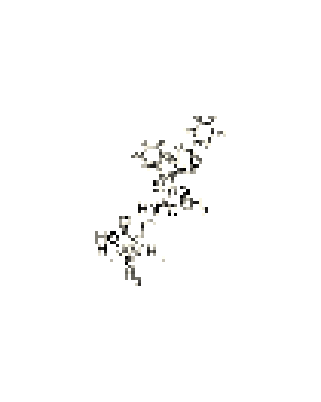 COc1c(C(=O)NCCCN(C(=O)O)C(C)(C)C)sc2c1c(=O)n(CC(=O)c1ccccc1)c1ccccc21